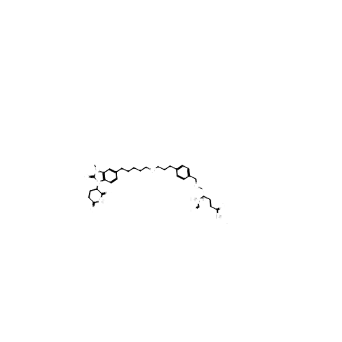 Cn1c(=O)n(C2CCC(=O)NC2=O)c2ccc(CCCCCOCCCc3ccc(COC[C@H](CCC(N)=O)NC=O)cc3)cc21